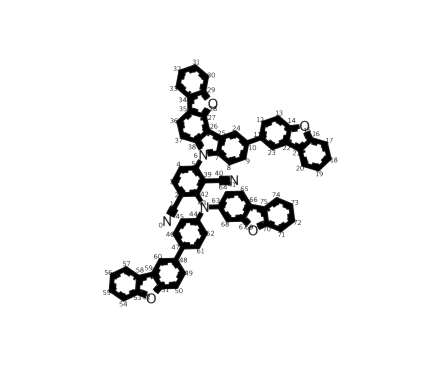 N#Cc1ccc(-n2c3ccc(-c4ccc5oc6ccccc6c5c4)cc3c3c4oc5ccccc5c4ccc32)c(C#N)c1N(c1ccc(-c2ccc3oc4ccccc4c3c2)cc1)c1ccc2c(c1)oc1ccccc12